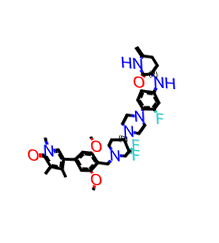 C=C1CC[C@@H](Nc2ccc(N3CCN([C@@H]4CCN(Cc5c(OC)cc(-c6cn(C)c(=O)c(C)c6C)cc5OC)CC4(F)F)CC3)c(F)c2)C(=O)N1